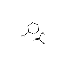 CC(C)C(N)=O.OC1CCCCC1